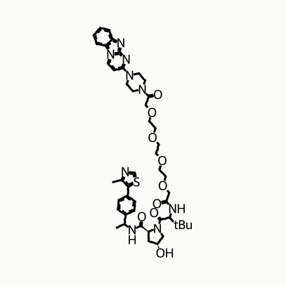 Cc1ncsc1-c1ccc(C(C)NC(=O)[C@@H]2C[C@@H](O)CN2C(=O)C(NC(=O)COCCOCCOCCOCC(=O)N2CCN(c3ccn4c(n3)nc3ccccc34)CC2)C(C)(C)C)cc1